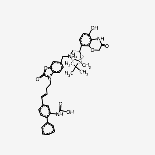 CC(C)(C)[Si](C)(C)O[C@H](CNCc1ccc2c(c1)oc(=O)n2CC/C=C/c1ccc(-c2ccccc2)c(NC(=O)O)c1)c1ccc(O)c2c1OCC(=O)N2